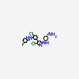 NC[C@H]1CC[C@H](Nc2cc(-c3ccc(Cl)c(NCc4cccc(F)c4)c3)c(Cl)cn2)CC1